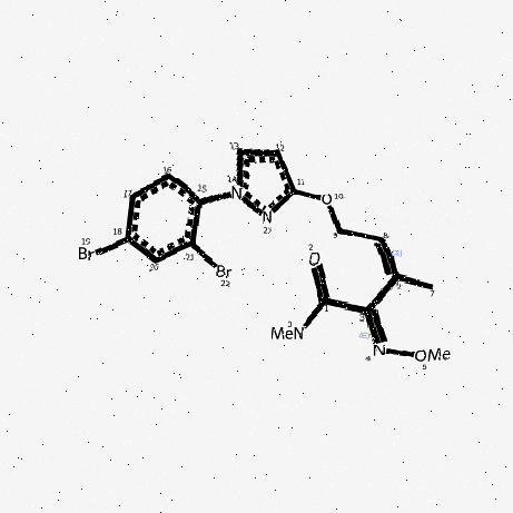 CNC(=O)C(=N/OC)/C(C)=C\COc1ccn(-c2ccc(Br)cc2Br)n1